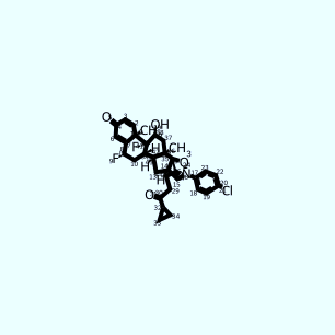 C[C@]12C=CC(=O)C=C1[C@@H](F)C[C@H]1[C@@H]3C[C@H]4CN(c5ccc(Cl)cc5)O[C@@]4(C(=O)CCC(=O)C4CC4)[C@@]3(C)C[C@H](O)[C@@]12F